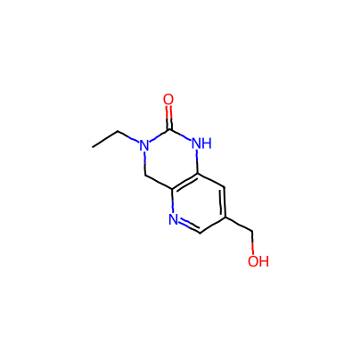 CCN1Cc2ncc(CO)cc2NC1=O